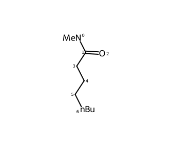 [CH2]NC(=O)CCCCCCC